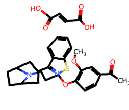 COc1cc(C(C)=O)ccc1OCCCN1C2CCC1CC(c1nsc3ccccc13)C2.O=C(O)/C=C/C(=O)O